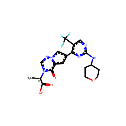 C[C@H](C(=O)O)n1cnn2cc(-c3nc(NC4CCOCC4)ncc3C(F)(F)F)cc2c1=O